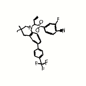 C=CC(N1CC(C)(C)Cc2cc(-c3ccc(C(F)(F)F)cc3)ccc21)S(=O)(=O)c1ccc(C#N)c(F)c1